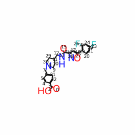 O=C(O)c1ccc(CN2CCC(CNC(=O)c3cc(-c4ccc(F)cc4F)on3)CC2)cc1